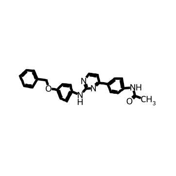 CC(=O)Nc1ccc(-c2ccnc(Nc3ccc(OCc4ccccc4)cc3)n2)cc1